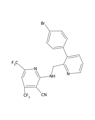 N#Cc1c(C(F)(F)F)cc(C(F)(F)F)nc1NCc1ncccc1-c1ccc(Br)cc1